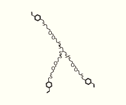 C=Cc1ccc(CSCCCOCOCCSSCC(CSSCCOCOCCSCc2ccc(C=C)cc2)SSCCOCOCCSCc2ccc(C=C)cc2)cc1